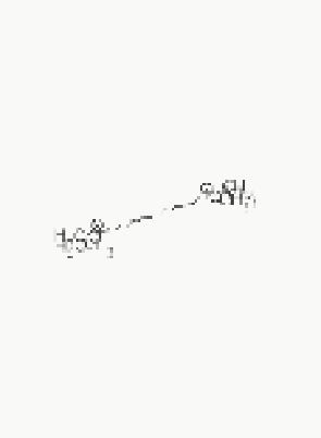 CC(C)(C)COC(=O)CCCCCCCCCCCCCCCCCCCC(=O)OCC(C)(C)C